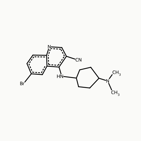 CN(C)C1CCC(Nc2c(C#N)cnc3ccc(Br)cc23)CC1